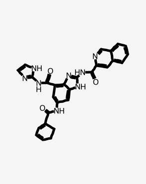 O=C(Nc1cc(C(=O)Nc2ncc[nH]2)c2nc(NC(=O)c3cc4ccccc4cn3)[nH]c2c1)C1=CC=CCC1